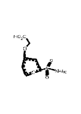 CC(=O)NS(=O)(=O)c1cccc(OCC(=O)O)c1